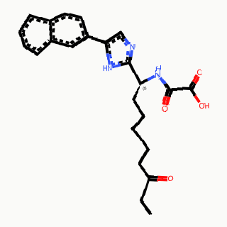 CCC(=O)CCCCC[C@H](NC(=O)C(=O)O)c1ncc(-c2ccc3ccccc3c2)[nH]1